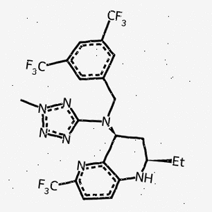 CC[C@@H]1C[C@H](N(Cc2cc(C(F)(F)F)cc(C(F)(F)F)c2)c2nnn(C)n2)c2nc(C(F)(F)F)ccc2N1